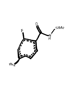 CSNC(=O)c1ccc(C(C)(C)C)cc1F